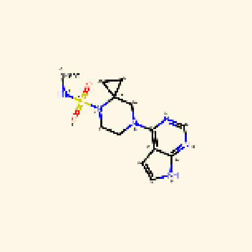 CCCCCNS(=O)(=O)N1CCN(c2ncnc3[nH]ccc23)CC12CC2